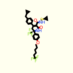 O=C(NSC1CC1)C1=C(c2ccc(CC3CC3)cc2)C[C@](c2ccc(OCCCCCC(F)(F)F)cc2)(C(F)(F)F)NC1=O